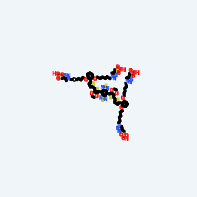 O=S(=O)(O)Cc1cn(CCCCCCOc2cccc(OCCCCCCn3cc(CS(=O)(=O)O)nn3)c2-c2ccc(-c3sc(-c4c5c(c(-c6sc(-c7ccc(-c8c(OCCCCCCn9cc(CS(=O)(=O)O)nn9)cccc8OCCCCCCn8cc(CS(=O)(=O)O)nn8)s7)c7c6OCCO7)c6nsnc46)N=S=N5)c4c3OCCO4)s2)nn1